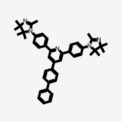 CC1=NC(C)(C)C(C)(C)N1c1ccc(-c2cc(-c3ccc(-c4ccccc4)cc3)cc(-c3ccc(N4C(C)=NC(C)(C)C4(C)C)cc3)n2)cc1